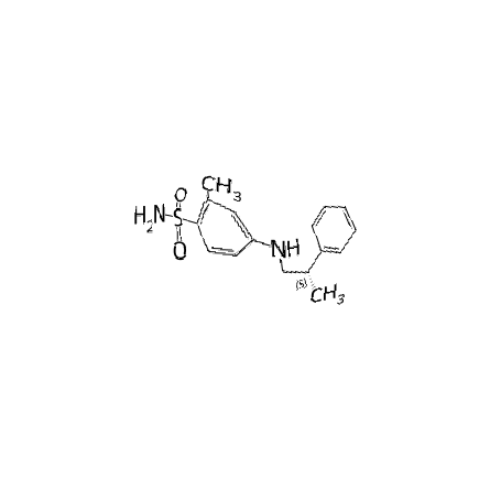 Cc1cc(NC[C@@H](C)c2ccccc2)ccc1S(N)(=O)=O